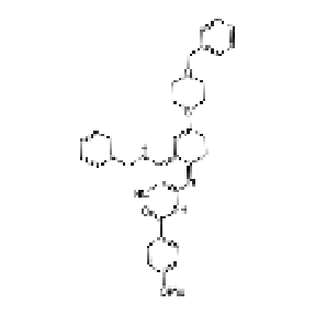 COc1ccc(C(=O)Nc2nc3ccc(N4CCN(Cc5ccccc5)CC4)cc3c(NCc3ccccc3)c2C#N)cc1